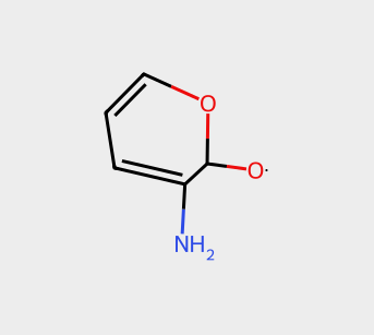 NC1=CC=COC1[O]